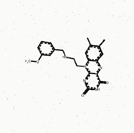 Cc1cc2nc3c(=O)[nH]c(=O)nc-3n(CCNCc3cccc(OC(F)(F)F)c3)c2cc1C